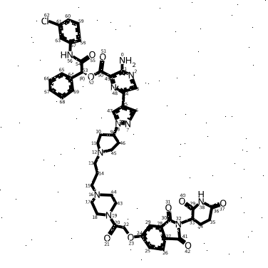 Nc1ncc(-c2cnn(C3CCN(CCCN4CCN(C(=O)COc5ccc6c(c5)C(=O)N(C5CCC(=O)NC5=O)C6=O)CC4)CC3)c2)nc1C(=O)O[C@@H](C(=O)Nc1cccc(Cl)c1)c1ccccc1